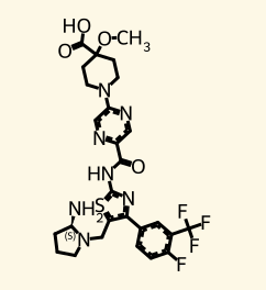 COC1(C(=O)O)CCN(c2cnc(C(=O)Nc3nc(-c4ccc(F)c(C(F)(F)F)c4)c(CN4CCC[C@H]4N)s3)cn2)CC1